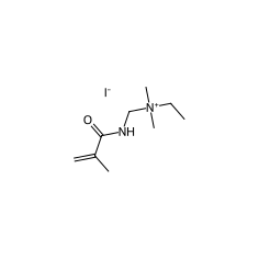 C=C(C)C(=O)NC[N+](C)(C)CC.[I-]